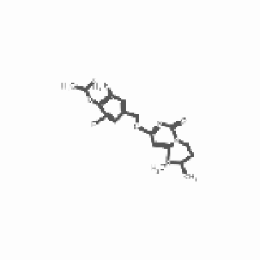 CC(C)Oc1c(F)cc(COc2cc3n(c(=O)n2)CCC(C)N3C)cc1F